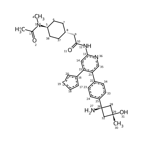 CC(=O)N(C)[C@H]1CC[C@H](CC(=O)Nc2cc(-c3ccsc3)c(-c3ccc([C@]4(N)C[C@](C)(O)C4)cc3)cn2)CC1